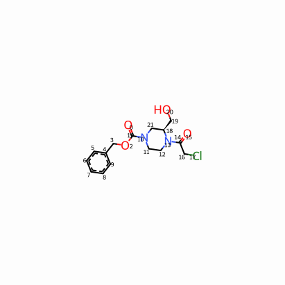 O=C(OCc1ccccc1)N1CCN(C(=O)CCl)[C@H](CO)C1